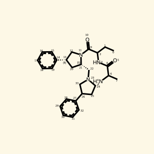 CCC(NC(=O)C(C)N)C(=O)N1C[C@@H](c2ccccc2)C[C@H]1CN1CCC(c2ccccc2)C1